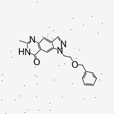 Cc1nc2cc3cnn(CCOCc4ccccc4)c3cc2c(=O)[nH]1